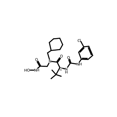 CC(C)(C)[C@H](NC(=O)Nc1cccc(Cl)c1)C(=O)N(CC(=O)NO)CC1CCCCC1